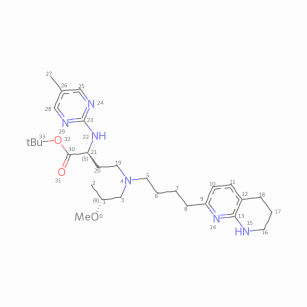 CO[C@H](C)CN(CCCCc1ccc2c(n1)NCCC2)CC[C@H](Nc1ncc(C)cn1)C(=O)OC(C)(C)C